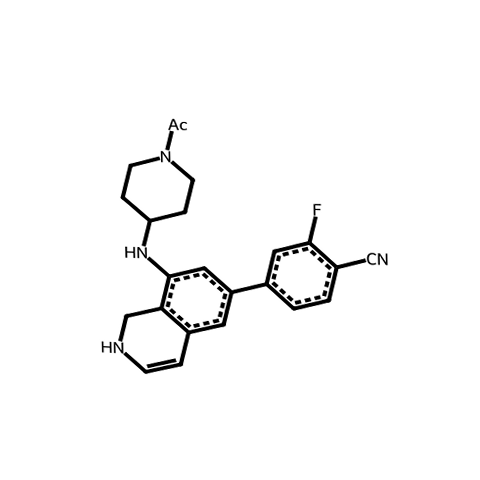 CC(=O)N1CCC(Nc2cc(-c3ccc(C#N)c(F)c3)cc3c2CNC=C3)CC1